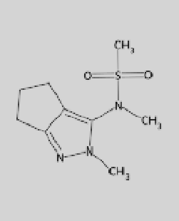 CN(c1c2c(nn1C)CCC2)S(C)(=O)=O